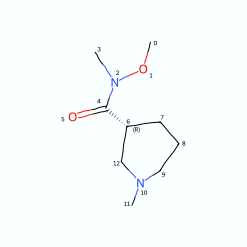 CON(C)C(=O)[C@@H]1CCCN(C)C1